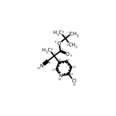 CC(C)(C)OC(=O)C(C)(C#N)c1ccc(Cl)nc1